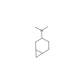 CN(C)C1CCC2CC2C1